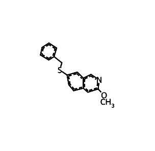 COc1cc2ccc(SCc3ccccc3)cc2cn1